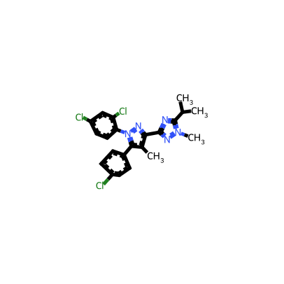 Cc1c(-c2nc(C(C)C)n(C)n2)nn(-c2ccc(Cl)cc2Cl)c1-c1ccc(Cl)cc1